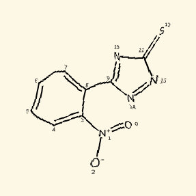 O=[N+]([O-])c1ccccc1C1=NC(=S)N=N1